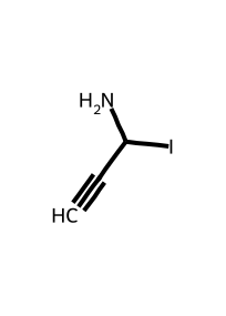 C#CC(N)I